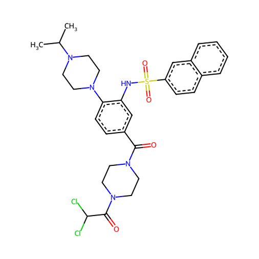 CC(C)N1CCN(c2ccc(C(=O)N3CCN(C(=O)C(Cl)Cl)CC3)cc2NS(=O)(=O)c2ccc3ccccc3c2)CC1